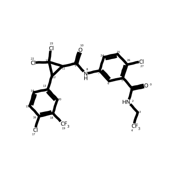 O=C(NCC(F)(F)F)c1cc(NC(=O)C2C(c3ccc(Cl)c(C(F)(F)F)c3)C2(Cl)Cl)ccc1Cl